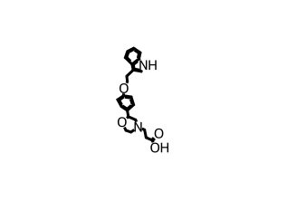 O=C(O)CCN1CCOC(c2ccc(OCCc3c[nH]c4ccccc34)cc2)C1